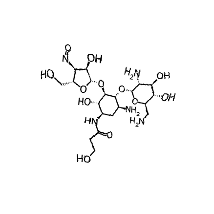 NC[C@H]1O[C@H](O[C@H]2[C@H](O[C@@H]3O[C@H](CO)[C@@H](N=O)[C@H]3O)[C@@H](O)[C@H](NC(=O)CCO)C[C@@H]2N)[C@H](N)[C@@H](O)[C@@H]1O